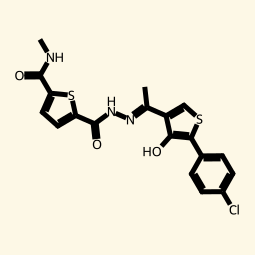 CNC(=O)c1ccc(C(=O)NN=C(C)c2csc(-c3ccc(Cl)cc3)c2O)s1